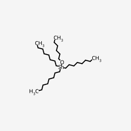 CCCCCCC[CH2][Sn]([CH2]CCCCCCC)([CH2]CCCCCCC)[O]CCCCCC